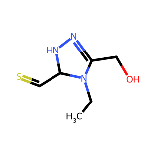 CCN1C(CO)=NNC1C=S